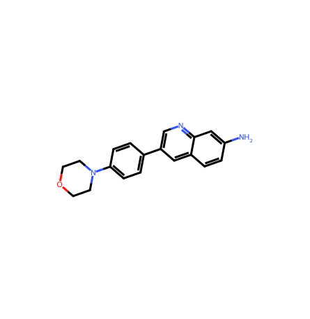 Nc1ccc2cc(-c3ccc(N4CCOCC4)cc3)cnc2c1